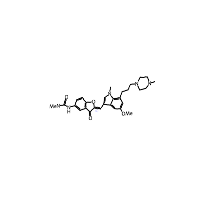 CNC(=O)Nc1ccc2c(c1)C(=O)/C(=C/c1cn(C)c3c(CCCN4CCN(C)CC4)cc(OC)cc13)O2